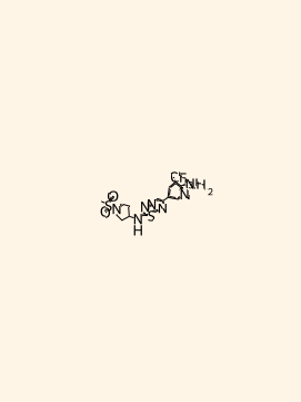 CS(=O)(=O)N1CCC(Nc2nn3cc(-c4cnc(N)c(C(F)(F)F)c4)nc3s2)CC1